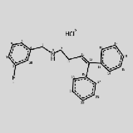 Cl.Fc1cccc(CNCCC=C(c2ccccc2)c2ccccc2)c1